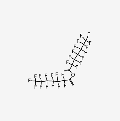 C=C(OC(=C)C(F)(F)C(F)(F)C(F)(F)C(F)(F)C(F)(F)C(F)(F)F)C(F)(F)C(F)(F)C(F)(F)C(F)(F)C(F)(F)C(F)(F)F